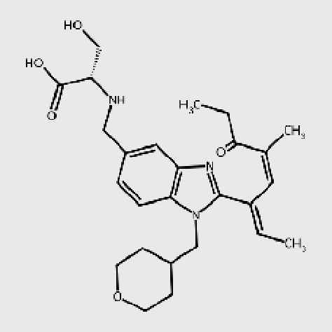 C/C=C(\C=C(\C)C(=O)CC)c1nc2cc(CN[C@@H](CO)C(=O)O)ccc2n1CC1CCOCC1